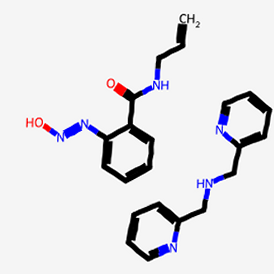 C=CCNC(=O)c1ccccc1N=NO.c1ccc(CNCc2ccccn2)nc1